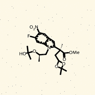 COC(=O)[C@@](C)(CC1OC(C)(C)O1)c1cc2cc([N+](=O)[O-])c(F)cc2n1C[C@@H](C)OC(C)(C)O